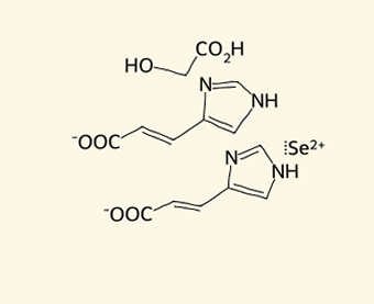 O=C(O)CO.O=C([O-])C=Cc1c[nH]cn1.O=C([O-])C=Cc1c[nH]cn1.[Se+2]